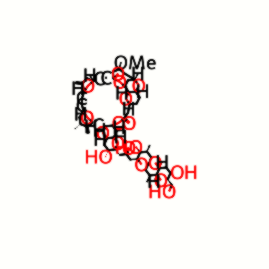 C=C1C[C@@H]2CC[C@]34C[C@@H](OC)C(O3)[C@H]3CC(O4)[C@H]4O[C@H](CC[C@@H]4O3)CC(=O)O[C@@H]3[C@@H](C)[C@@H]4O[C@H](CC(=O)C[C@@H]5O[C@@]6(C[C@H](C)[C@@H]5O)C[C@H](C)[C@@H]5O[C@H](CO)[C@H](O)C[C@@H]5O6)[C@H](O)C[C@@H]4O[C@H]3C[C@H]3O[C@@H](CC[C@@H]1O2)C[C@@H](C)C3=C